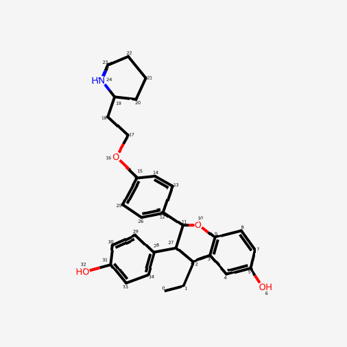 CCC1c2cc(O)ccc2OC(c2ccc(OCCC3CCCCN3)cc2)C1c1ccc(O)cc1